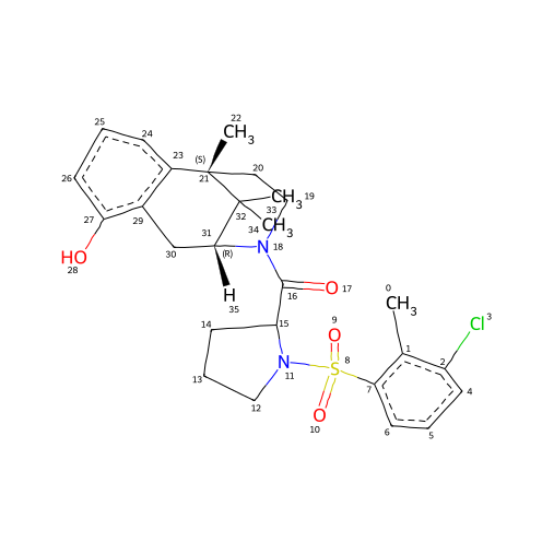 Cc1c(Cl)cccc1S(=O)(=O)N1CCCC1C(=O)N1CC[C@@]2(C)c3cccc(O)c3C[C@@H]1C2(C)C